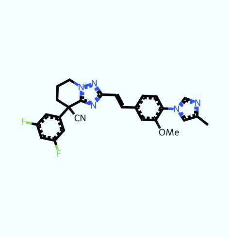 COc1cc(C=Cc2nc3n(n2)CCCC3(C#N)c2cc(F)cc(F)c2)ccc1-n1cnc(C)c1